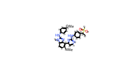 CNc1ccc2c(nc(Nc3ccc(OC)cc3)n2C)c1-c1ccnc(Nc2ccc(C(C)S(C)(=O)=O)cc2)n1